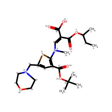 CCC(C)OC(=O)C(=CN(C)c1sc(CN2CCOCC2)cc1C(=O)OC(C)(C)C)C(=O)O